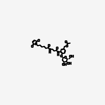 CC(=O)OCc1ccc(O[C@H]2C[C@@H](O)[C@@H](O)[C@@H](CO)O2)c(NC(=O)CCNC(=O)CCCCCN2C(=O)C=CC2=O)c1